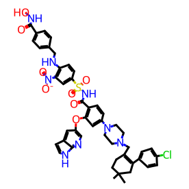 CC1(C)CCC(CN2CCN(c3ccc(C(=O)NS(=O)(=O)c4ccc(NCc5ccc(C(=O)NO)cc5)c([N+](=O)[O-])c4)c(Oc4cnc5[nH]ccc5c4)c3)CC2)=C(c2ccc(Cl)cc2)C1